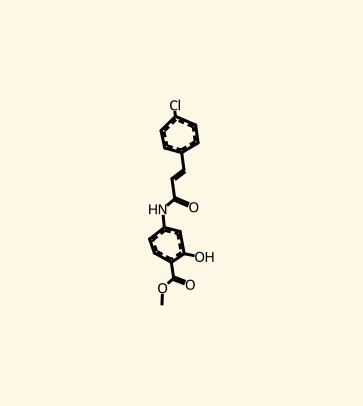 COC(=O)c1ccc(NC(=O)C=Cc2ccc(Cl)cc2)cc1O